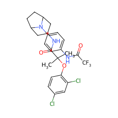 CC(C)(Oc1ccc(Cl)cc1Cl)C(=O)NC1CC2CCC(C1)N2c1ccc(NC(=O)C(F)(F)F)cc1